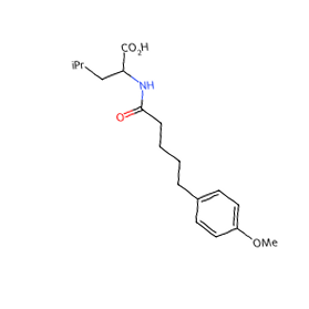 COc1ccc(CCCCC(=O)NC(CC(C)C)C(=O)O)cc1